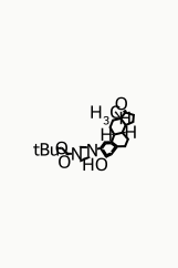 CC(C)(C)OC(=O)N1CCN(c2cc3c(cc2O)CC[C@@H]2[C@@H]3CC[C@]3(C)C(=O)CC[C@@H]23)CC1